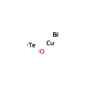 [Bi].[Cu].[O].[Te]